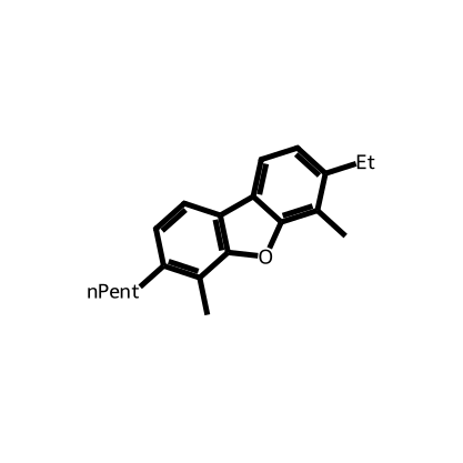 CCCCCc1ccc2c(oc3c(C)c(CC)ccc32)c1C